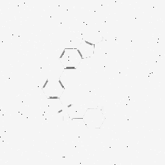 CC(=O)Nc1nc2ccc(-c3cccc(S(=O)(=O)NC4CCCNC4)c3)cc2s1